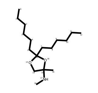 CCCCCCC1(CCCCCC)OCC(C)(NC)O1